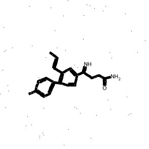 C/C=C/c1cc(C(=N)CCC(N)=O)ccc1-c1ccc(C)cc1